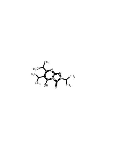 CC(C)c1nc2nn(C(C)C)c(=O)n2c(O)c1C(C)C